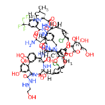 CN[C@H](CC(C)C)C(=O)N[C@H]1C(=O)N[C@@H](CC(N)=O)C(=O)N[C@H]2C(=O)N[C@H]3C(=O)N[C@H](C(=O)N[C@@H](C(=O)NNCCO)c4cc(O)cc(O)c4-c4cc3ccc4O)[C@H](O)c3ccc(c(Cl)c3)Oc3cc2cc(c3O[C@@H]2O[C@H](CO)[C@@H](O)[C@H](O)[C@H]2O[C@H]2C[C@](C)(NCc3ccc(NC(=O)c4ccc(F)c(C(F)(F)F)c4)cc3)[C@H](O)[C@H](C)O2)Oc2ccc(cc2Cl)[C@H]1O